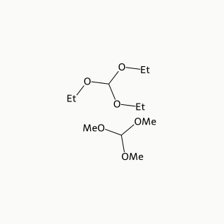 CCOC(OCC)OCC.COC(OC)OC